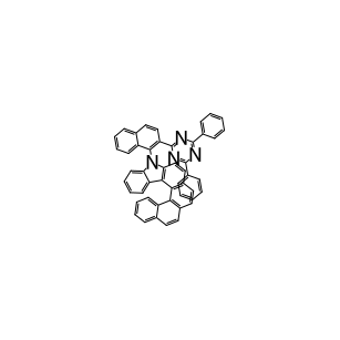 c1ccc(-c2nc(-c3ccccc3)nc(-c3ccc4ccccc4c3-n3c4ccccc4c4c5c(ccc6ccc7ccccc7c65)ccc43)n2)cc1